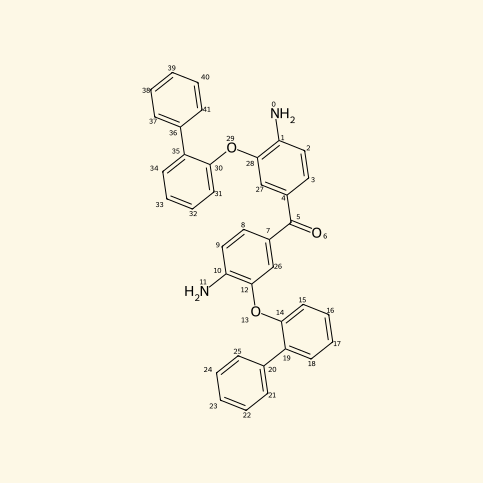 Nc1ccc(C(=O)c2ccc(N)c(Oc3ccccc3-c3ccccc3)c2)cc1Oc1ccccc1-c1ccccc1